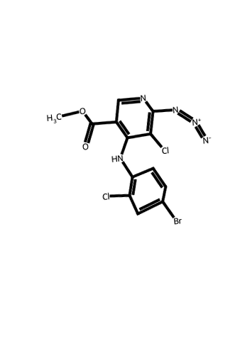 COC(=O)c1cnc(N=[N+]=[N-])c(Cl)c1Nc1ccc(Br)cc1Cl